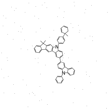 CC1(c2ccc(-n3c4ccc(-c5ccc6c(c5)c5ccccc5n6-c5ccccc5)cc4c4cc5c(cc43)C(C)(C)c3ccccc3-5)cc2)C=CC=CC1